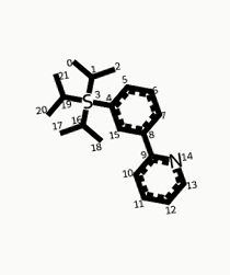 CC(C)S(c1cccc(-c2ccccn2)c1)(C(C)C)C(C)C